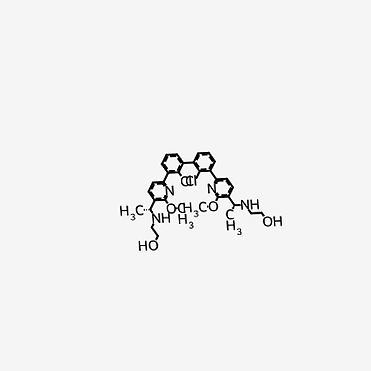 COc1nc(-c2cccc(-c3cccc(-c4ccc([C@@H](C)NCCO)c(OC)n4)c3Cl)c2Cl)ccc1[C@H](C)NCCO